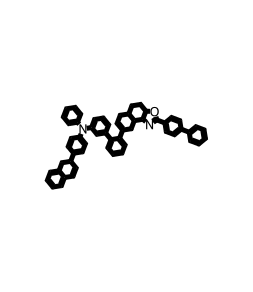 C1=CC(c2ccc(N(c3ccccc3)c3cccc(-c4ccccc4C4=CCC5CCC6OC(c7ccc(-c8ccccc8)cc7)=NC6C5C4)c3)cc2)Cc2ccccc21